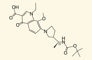 CCn1cc(C(=O)O)c(=O)c2ccc(N3CCC([C@H](C)NC(=O)OC(C)(C)C)C3)c(OC)c21